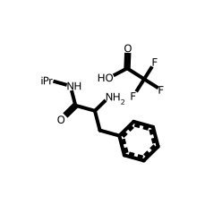 CC(C)NC(=O)C(N)Cc1ccccc1.O=C(O)C(F)(F)F